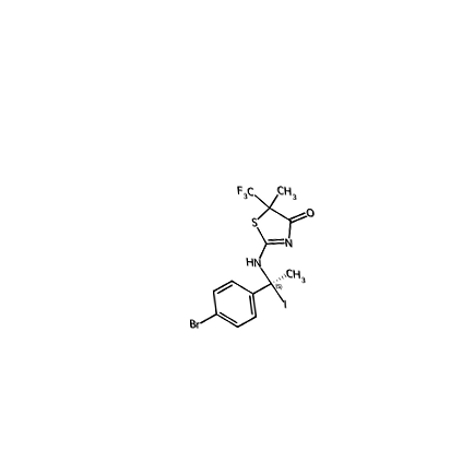 CC1(C(F)(F)F)SC(N[C@@](C)(I)c2ccc(Br)cc2)=NC1=O